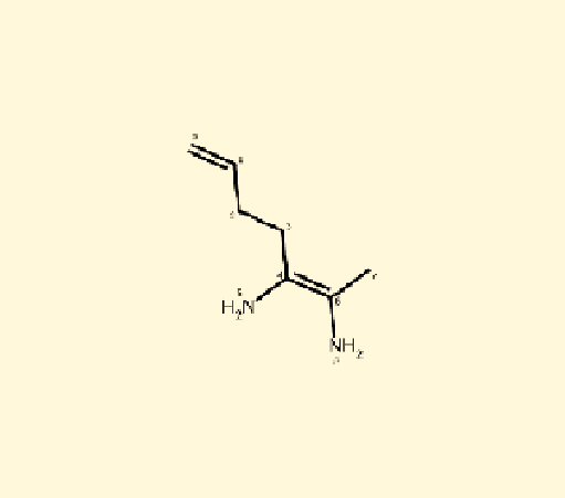 C=CCC/C(N)=C(\C)N